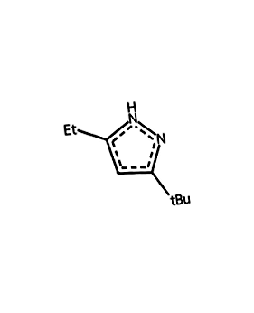 CCc1cc(C(C)(C)C)n[nH]1